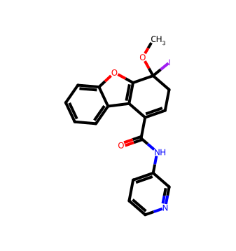 COC1(I)CC=C(C(=O)Nc2cccnc2)c2c1oc1ccccc21